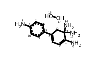 NC1=CC=C(c2ccc(N)cc2)CC1(N)N.OO